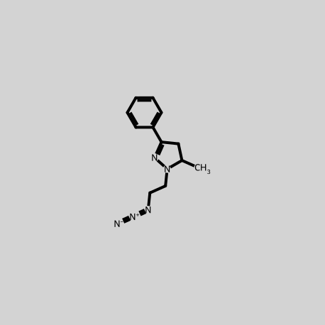 CC1CC(c2ccccc2)=NN1CCN=[N+]=[N-]